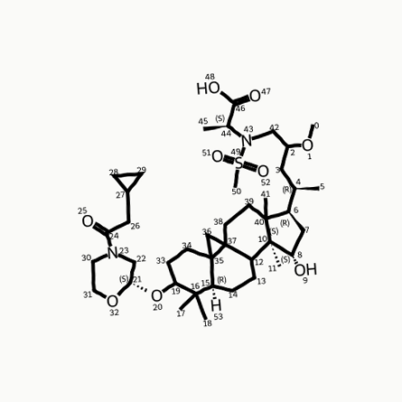 COC(C[C@@H](C)[C@H]1C[C@H](O)[C@@]2(C)C3CC[C@H]4C(C)(C)C(O[C@H]5CN(C(=O)CC6CC6)CCO5)CCC45CC35CCC12C)CN([C@@H](C)C(=O)O)S(C)(=O)=O